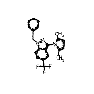 Cc1ccc(C)n1-c1nn(Cc2ccccc2)c2ccc(C(F)(F)F)cc12